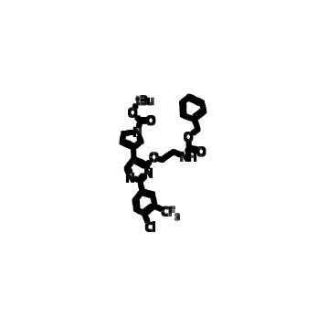 CC(C)(C)OC(=O)N1CC=C(c2cnc(-c3ccc(Cl)c(C(F)(F)F)c3)nc2OCCNC(=O)OCc2ccccc2)C1